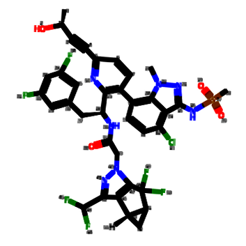 C[C@H](O)C#Cc1ccc(-c2ccc(Cl)c3c(NS(C)(=O)=O)nn(C)c23)c([C@H](Cc2cc(F)cc(F)c2)NC(=O)Cn2nc(C(F)F)c3c2C(F)(F)C2C[C@H]32)n1